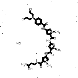 Cl.Cn1cc(NC(=O)c2cc(NC(=O)c3cc(NC(=O)c4ccc(N(CCCl)CCCl)cc4)cn3C)nn2C)cc1C(=O)NCCC(=N)N